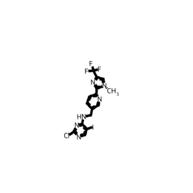 Cn1cc(C(F)(F)F)nc1-c1ccc(CNc2nc(Cl)ncc2I)cn1